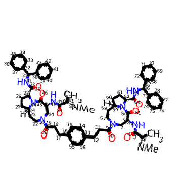 CN[C@@H](C)C(=O)N[C@H]1CN(C(=O)CCc2ccc(CCC(=O)N3CC[C@H]4CC[C@@H](C(=O)NC(c5ccccc5)c5ccccc5)N4C(=O)[C@@H](NC(=O)[C@H](C)NC)C3)cc2)CC[C@H]2CC[C@@H](C(=O)NC(c3ccccc3)c3ccccc3)N2C1=O